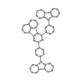 c1cc(-c2nc(-c3ccc(-n4c5ccccc5c5ccccc54)cc3)nc3c2-c2cccc4cccc-3c24)cc(-n2c3ccccc3c3ccccc32)c1